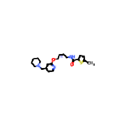 Cc1ccc(C(=O)NC/C=C\COc2cc(CN3CCCCC3)ccn2)s1